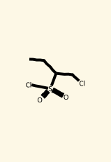 CCC(CCl)S(=O)(=O)Cl